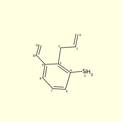 C=CCc1c([SiH3])cccc1C=C